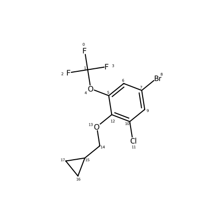 FC(F)(F)Oc1cc(Br)cc(Cl)c1OCC1CC1